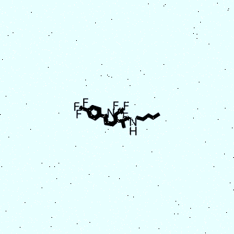 CCCCCNCC(C)c1ccc(-c2ccc(C(F)(F)F)cc2)nc1C(F)(F)F